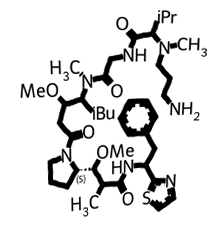 CCC(C)C(C(CC(=O)N1CCC[C@H]1C(OC)C(C)C(=O)NC(Cc1ccccc1)c1nccs1)OC)N(C)C(=O)CNC(=O)C(C(C)C)N(C)CCCN